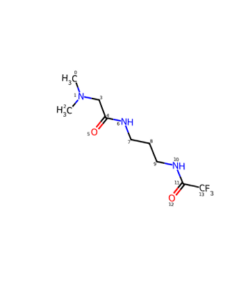 CN(C)CC(=O)NCCCNC(=O)C(F)(F)F